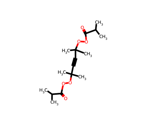 CC(C)C(=O)OOC(C)(C)C#CC(C)(C)OOC(=O)C(C)C